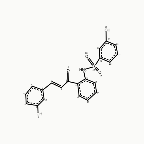 O=C(/C=C/c1cccc(O)c1)c1ccccc1NS(=O)(=O)c1cccc(O)c1